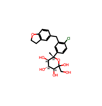 C[C@@]1(c2ccc(Cl)c(Cc3ccc4c(c3)CCO4)c2)OC(O)(CO)[C@@H](O)[C@H](O)[C@H]1O